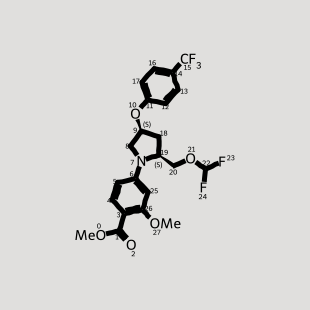 COC(=O)c1ccc(N2C[C@@H](Oc3ccc(C(F)(F)F)cc3)C[C@H]2COC(F)F)cc1OC